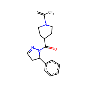 C=C(N1CCC(C(=O)N2N=CCC2c2ccccc2)CC1)C(F)(F)F